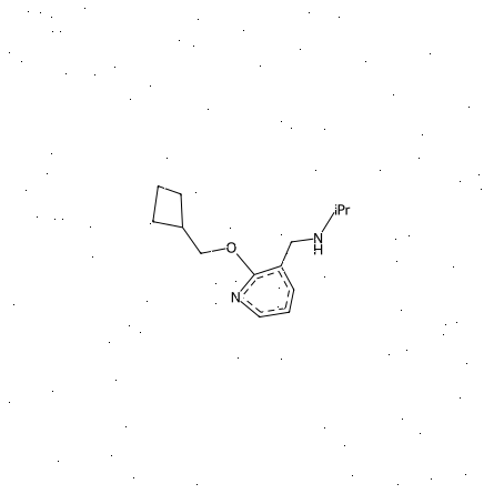 CC(C)NCc1cccnc1OCC1CCC1